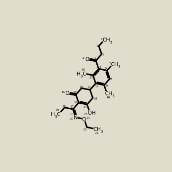 CCCC(=O)c1c(C)cc(C)c(C2CC(=O)C(/C(CC)=N\OCC)=C(O)C2)c1C